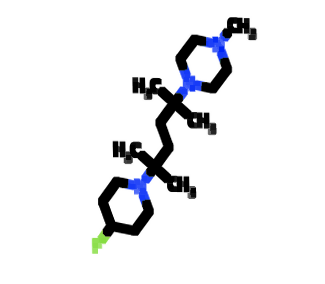 CN1CCN(C(C)(C)CCC(C)(C)N2CCC(F)CC2)CC1